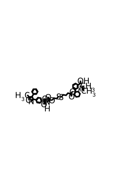 Cc1onc(-c2ccc(S(=O)(=O)NC(=O)OCCSSCCCC(=O)O[C@]3(c4cccc(CO)c4)CCCC[C@@H]3CN(C)C)cc2)c1-c1ccccc1